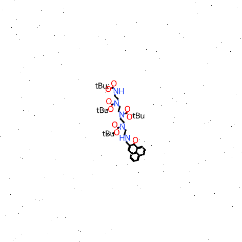 CC(C)(C)OC(=O)NCCN(CCN(CCN(CCNCC1=Cc2cccc3cccc(c23)C1=O)C(=O)OC(C)(C)C)C(=O)OC(C)(C)C)C(=O)OC(C)(C)C